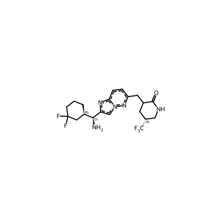 N[C@H](c1cn2nc(CC3C[C@@H](C(F)(F)F)CNC3=O)ccc2n1)[C@@H]1CCCC(F)(F)C1